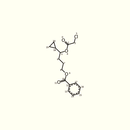 O=C(CCl)OC(CCCOC(=O)c1ccccc1)C1CC1